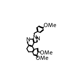 COc1ccc(Cn2ncc3c4c(cnc32)CCc2cc(OC)c(OC)cc2-4)cc1